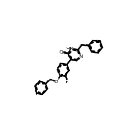 O=c1[nH]c(Cc2ccccc2)ncc1-c1ccc(OCc2ccccc2)c(F)c1